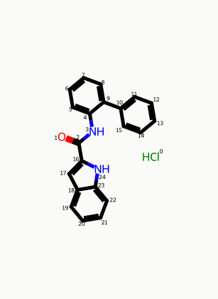 Cl.O=C(Nc1ccccc1-c1ccccc1)c1cc2ccccc2[nH]1